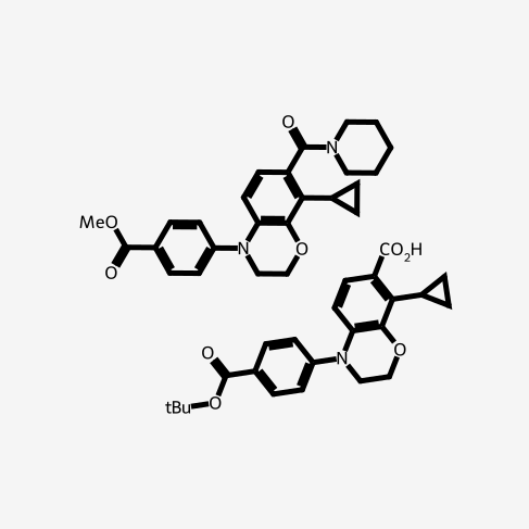 CC(C)(C)OC(=O)c1ccc(N2CCOc3c2ccc(C(=O)O)c3C2CC2)cc1.COC(=O)c1ccc(N2CCOc3c2ccc(C(=O)N2CCCCC2)c3C2CC2)cc1